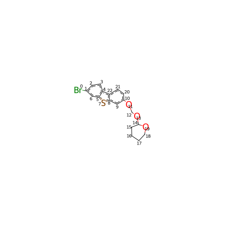 Brc1ccc2c(c1)sc1cc(OCOC3CCCCO3)ccc12